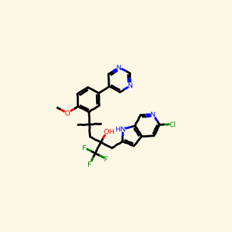 COc1ccc(-c2cncnc2)cc1C(C)(C)CC(O)(Cc1cc2cc(Cl)ncc2[nH]1)C(F)(F)F